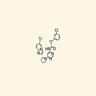 O=C(Nc1cc(N2CCC[C@@H]2c2cn3cc(C4CC4)ccc3n2)ncn1)C1CC1c1cccc(Cl)c1